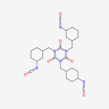 O=C=NC1CCC(Cn2c(=O)n(CC3CCCC(N=C=O)C3)c(=O)n(CC3CCCC(N=C=O)C3)c2=O)CC1